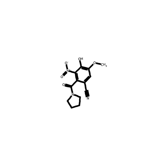 COc1cc(C#N)c(C(=O)N2CCCC2)c([N+](=O)[O-])c1O